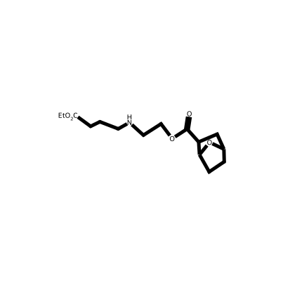 CCOC(=O)CCCNCCOC(=O)C1CC2CCC1O2